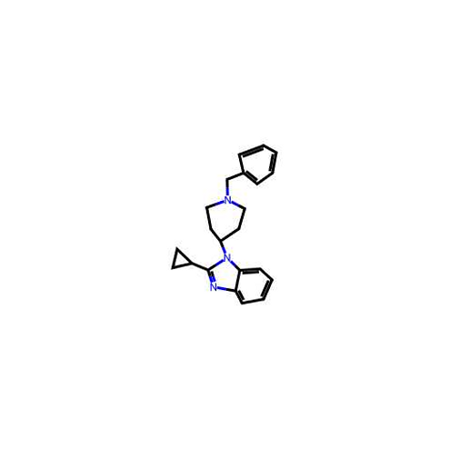 c1ccc(CN2CCC(n3c(C4CC4)nc4ccccc43)CC2)cc1